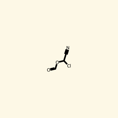 N#CC(Cl)OC=O